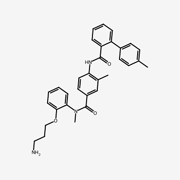 Cc1ccc(-c2ccccc2C(=O)Nc2ccc(C(=O)N(C)c3ccccc3OCCCN)cc2C)cc1